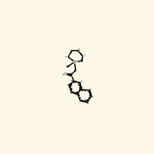 C[N+]1(CC(=O)c2ccc3ccccc3c2)CCCCC1